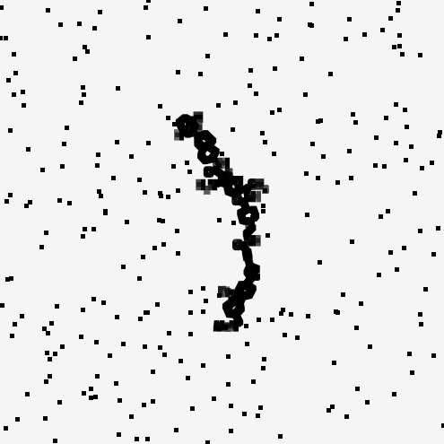 CCn1c2ccc(CNC)cc2c2ccc(-c3cc(C#CC(=O)NCCN4CCC(C(=O)NC(C)c5ccc6c(N)c(C(=O)N[C@H]7CCc8cc(N9C[C@H]%10CC[C@@H](C9)N%10)ccc8C7)sc6n5)CC4)cs3)cc21